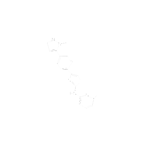 Cc1cccc(Nc2nc(-c3ccc(-c4ccnn4C)cc3)cs2)n1